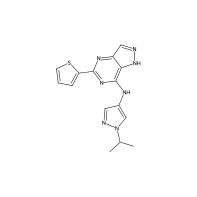 CC(C)n1cc(Nc2nc(-c3cccs3)nc3cn[nH]c23)cn1